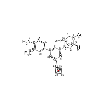 CC(=O)N1C[C@@H]2C[C@H]1CN2c1cc(-c2cnc(N)c(C(F)(F)F)c2)nc(N2CC3CC2C3)n1